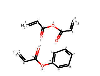 C=CC(=O)OC(=O)C=C.C=CC(=O)Oc1ccccc1